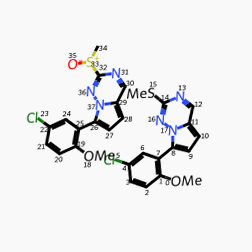 COc1ccc(Cl)cc1-c1ccc2cnc(SC)nn12.COc1ccc(Cl)cc1-c1ccc2cnc([S+](C)[O-])nn12